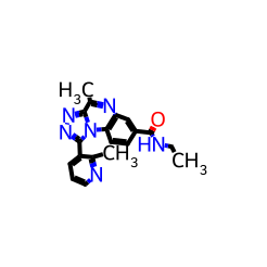 CCNC(=O)c1ccc2c(c1)nc(C)c1nnc(-c3cccnc3C)n12